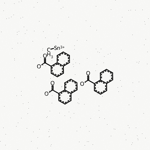 O=C([O-])c1cccc2ccccc12.O=C([O-])c1cccc2ccccc12.O=C([O-])c1cccc2ccccc12.[CH3][Sn+3]